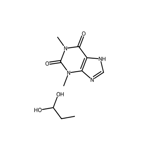 CCC(O)O.Cn1c(=O)c2[nH]cnc2n(C)c1=O